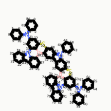 c1ccc(N(c2ccccc2)c2cc3c4c(c2)-n2c5ccccc5c5cccc(c52)B4c2cc4c5cc6c(cc5n(-c5ccccc5)c4cc2S3)Sc2cc(N(c3ccccc3)c3ccccc3)cc3c2B6c2cccc4c5ccccc5n-3c24)cc1